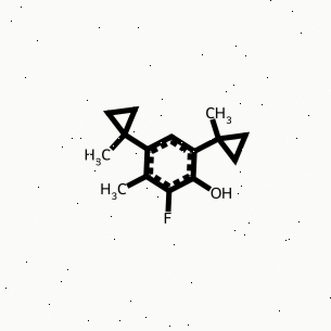 Cc1c(C2(C)CC2)cc(C2(C)CC2)c(O)c1F